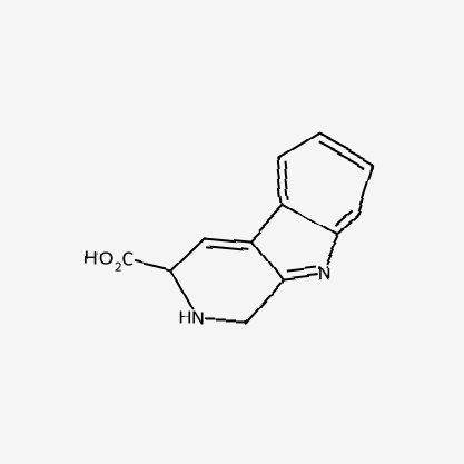 O=C(O)C1C=C2C(=Nc3ccccc32)CN1